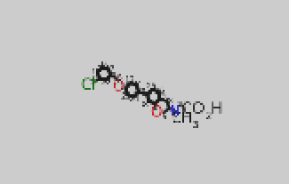 CN(CC(=O)O)C1COc2cc(-c3ccc(OCc4cccc(Cl)c4)cc3)ccc2C1